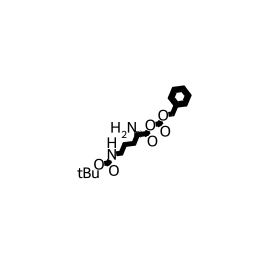 CC(C)(C)OC(=O)NCCC[C@@H](N)C(=O)OC(=O)OCc1ccccc1